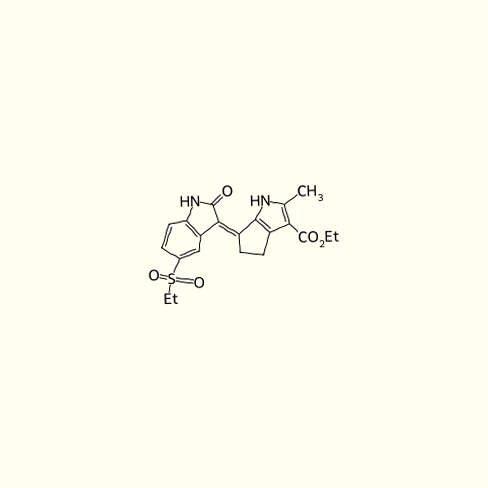 CCOC(=O)c1c(C)[nH]c2c1CC/C2=C1/C(=O)Nc2ccc(S(=O)(=O)CC)cc21